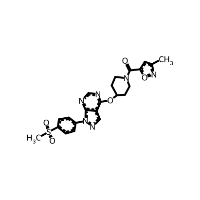 Cc1cc(C(=O)N2CCC(Oc3ncnc4c3cnn4-c3ccc(S(C)(=O)=O)cc3)CC2)on1